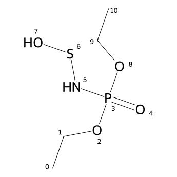 CCOP(=O)(NSO)OCC